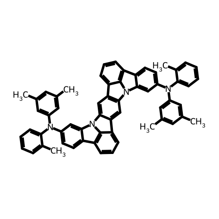 Cc1cc(C)cc(N(c2ccc3c4cccc5c6cc7c(cc6n(c3c2)c45)c2cccc3c4ccc(N(c5cc(C)cc(C)c5)c5ccccc5C)cc4n7c32)c2ccccc2C)c1